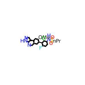 CCCS(=O)(=O)Nc1ccc(F)c(-c2cc3cnc4[nH]ncc4c3cc2OC)c1Cl